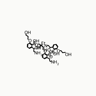 CCC(CC)(CCOc1cccc2c1B(OB(O)c1c(OCCCO)cccc1C(O)CN)OC2CN)COB(O)c1c(OCCCO)cccc1C(O)CN